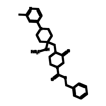 CCOC(=O)NC1(CN2CCN(C(=O)OCc3ccccc3)CC2=O)CCN(c2ccnc(C)c2)CC1